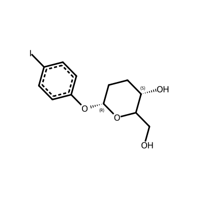 OCC1O[C@H](Oc2ccc(I)cc2)CC[C@@H]1O